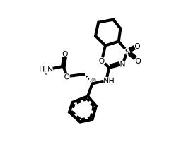 NC(=O)OC[C@H](NC1=NS(=O)(=O)C2CCCCC2O1)c1ccccc1